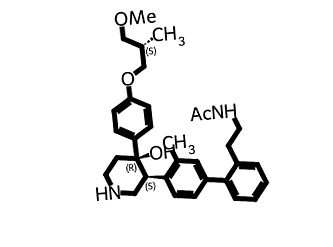 COC[C@H](C)COc1ccc([C@@]2(O)CCNC[C@@H]2c2ccc(-c3ccccc3CCNC(C)=O)cc2C)cc1